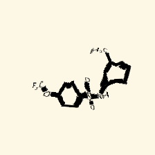 Cc1cccc(NS(=O)(=O)c2ccc(OC(F)(F)F)cc2)c1